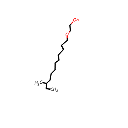 CCC(C)CCCCCCCCCOCCO